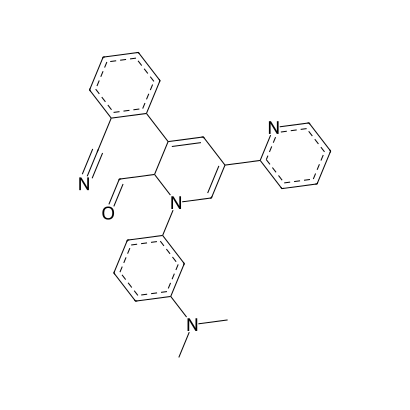 CN(C)c1cccc(N2C=C(c3ccccn3)C=C(c3ccccc3C#N)C2C=O)c1